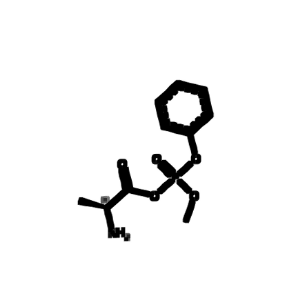 COP(=O)(OC(=O)[C@H](C)N)Oc1ccccc1